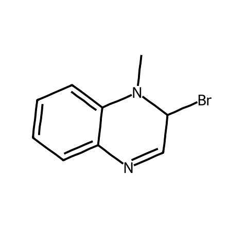 CN1c2ccccc2N=CC1Br